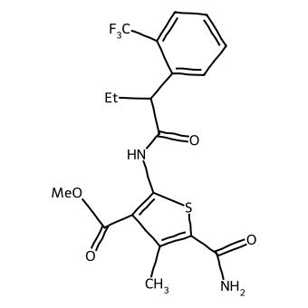 CCC(C(=O)Nc1sc(C(N)=O)c(C)c1C(=O)OC)c1ccccc1C(F)(F)F